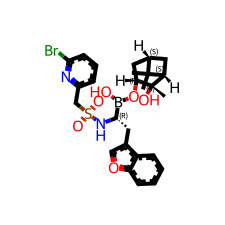 CC1(C)[C@@H]2C[C@@H](OB(O)[C@H](Cc3coc4ccccc34)NS(=O)(=O)Cc3cccc(Br)n3)[C@@](C)(O)[C@H]1C2